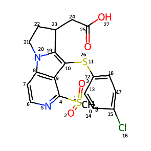 CS(=O)(=O)c1nccc2c1c(Sc1ccc(Cl)cc1)c1n2CCC1CC(=O)O